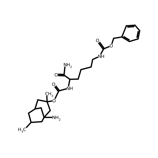 CC1CC2CC(N)(C1)CC(C)(OC(=O)NC(CCCCNC(=O)OCc1ccccc1)C(N)=O)C2